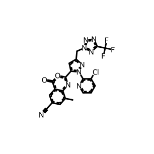 Cc1cc(C#N)cc2c(=O)oc(-c3cc(Cn4nnc(C(F)(F)F)n4)nn3-c3ncccc3Cl)nc12